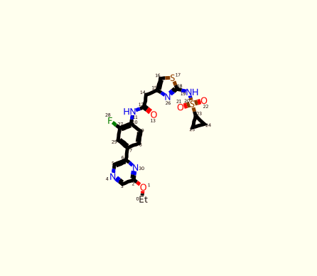 CCOc1cncc(-c2ccc(NC(=O)Cc3csc(NS(=O)(=O)C4CC4)n3)c(F)c2)n1